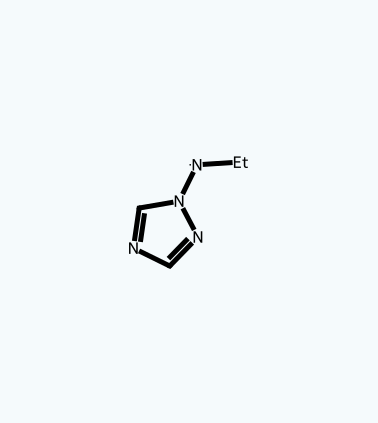 CC[N]n1cncn1